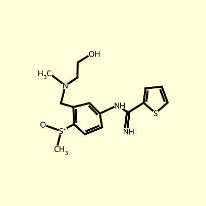 CN(CCO)Cc1cc(NC(=N)c2cccs2)ccc1[S+](C)[O-]